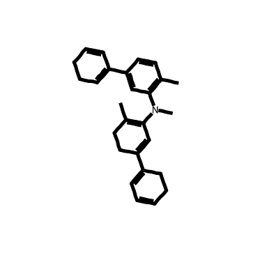 CC1=C(N(C)c2cc(C3=CCCC=C3)ccc2C)C=C(C2=CC=CCC2)CC1